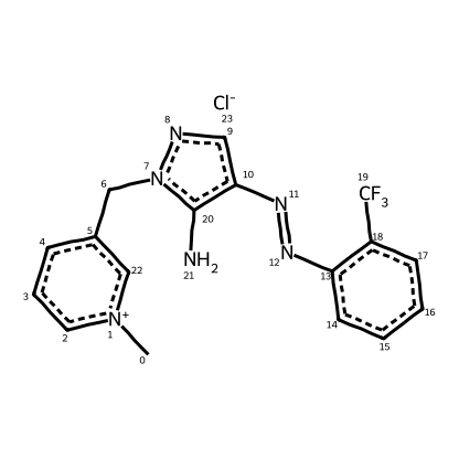 C[n+]1cccc(Cn2ncc(N=Nc3ccccc3C(F)(F)F)c2N)c1.[Cl-]